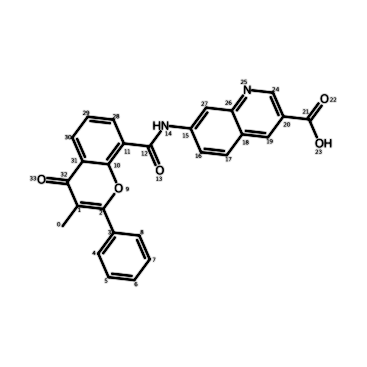 Cc1c(-c2ccccc2)oc2c(C(=O)Nc3ccc4cc(C(=O)O)cnc4c3)cccc2c1=O